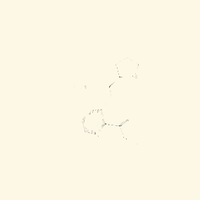 Cl.Cl.NC(=O)c1ncccc1OC[C@H]1CCCN1